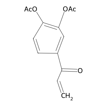 C=CC(=O)c1ccc(OC(C)=O)c(OC(C)=O)c1